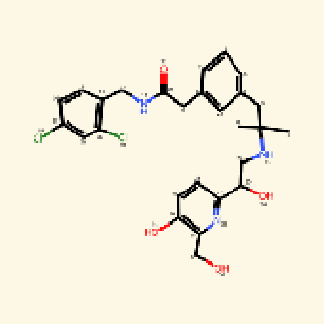 CC(C)(Cc1cccc(CC(=O)NCc2ccc(Cl)cc2Cl)c1)NCC(O)c1ccc(O)c(CO)n1